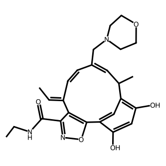 C\C=C1/C=C\C(CN2CCOCC2)=C/C(C)c2cc(c(O)cc2O)-c2onc(C(=O)NCC)c21